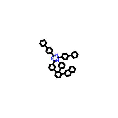 c1ccc(-c2ccc(-c3nc(-c4ccc(-c5ccccc5)cc4)nc(-c4cccc(-c5cccc(-c6ccc7ccccc7c6)c5-c5ccccc5)c4)n3)cc2)cc1